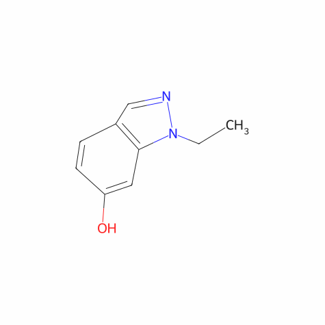 CCn1ncc2ccc(O)cc21